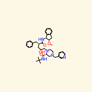 CO[C@@H]1Cc2ccccc2[C@@H]1NC(=O)[C@H](Cc1ccccc1)C[C@H](O)CN1CCN(Cc2cccnc2)C[C@H]1C(=O)NC(C)(C)C